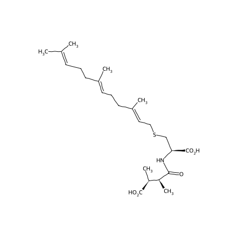 CC(C)=CCC/C(C)=C/CC/C(C)=C/CSC[C@H](NC(=O)[C@@H](C)[C@H](C)C(=O)O)C(=O)O